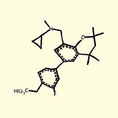 CN(Cc1cc(-c2ccc(CC(=O)O)c(F)c2)cc2c1OC(C)(C)CC2(C)C)C1CC1